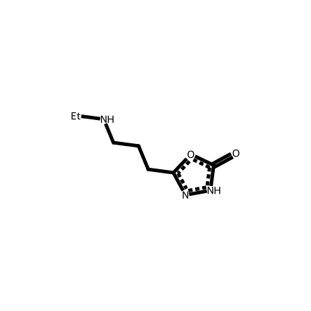 CCNCCCc1n[nH]c(=O)o1